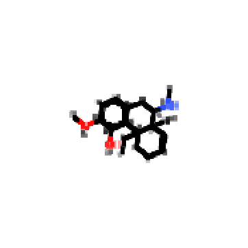 CCC12CCC=C[C@H]1[C@H](NC)Cc1ccc(OC)c(O)c12